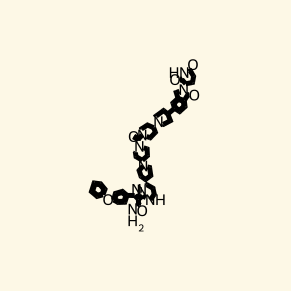 NC(=O)c1c(-c2ccc(Oc3ccccc3)cc2)nn2c1NCC[C@H]2C1CCN(C2CCN(C(=O)N3CCC(N4CCC(c5ccc6c(c5)CN(C5CCC(=O)NC5=O)C6=O)CC4)CC3)CC2)CC1